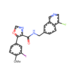 COc1ccc(-c2ocnc2C(=O)NCc2ccc3c(F)cncc3c2)cc1I